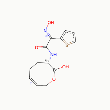 O=C(N[C@H]1CC/C=C\COB1O)/C(=N/O)c1cccs1